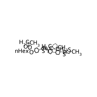 C=C(C)C(=O)OC(CCCCCC)Oc1ccc(-c2ccc(-c3ccc4c(c3)C3(c5cc(-c6cc7sc(C)cc7s6)ccc5-4)C(C)(C)CCCC3(C)C)s2)cc1